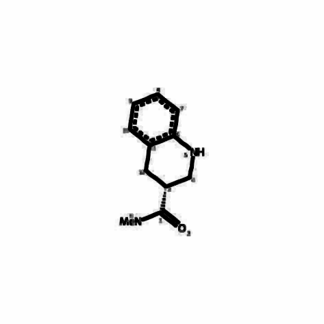 CNC(=O)[C@H]1CNc2ccccc2C1